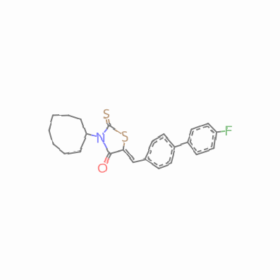 O=C1/C(=C/c2ccc(-c3ccc(F)cc3)cc2)SC(=S)N1C1CCCCCCC1